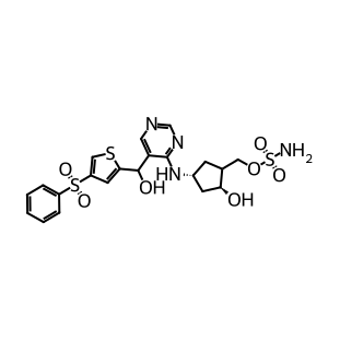 NS(=O)(=O)OCC1C[C@@H](Nc2ncncc2C(O)c2cc(S(=O)(=O)c3ccccc3)cs2)C[C@@H]1O